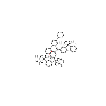 CC(C)(C)c1cccc2c1-c1ccc(N(c3ccc4c(c3)C(C)(C)c3ccccc3-4)c3cc(C4CCCCC4)ccc3-c3ccccc3)cc1C2(C)C